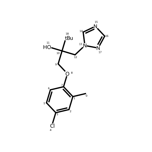 Cc1cc(Cl)ccc1OCC(O)(Cn1cncn1)C(C)(C)C